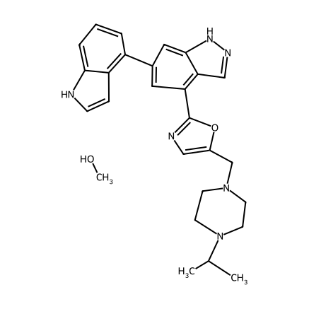 CC(C)N1CCN(Cc2cnc(-c3cc(-c4cccc5[nH]ccc45)cc4[nH]ncc34)o2)CC1.CO